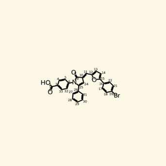 O=C(O)c1ccc(N2C(=O)/C(=C/c3ccc(-c4ccc(Br)cc4)o3)C=C2c2ccccc2)cc1